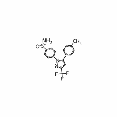 Cc1ccc(-c2cc(C(F)(F)F)nn2-c2ccc([S+](N)[O-])cc2)cc1